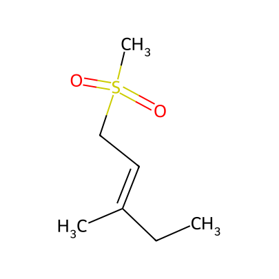 CCC(C)=CCS(C)(=O)=O